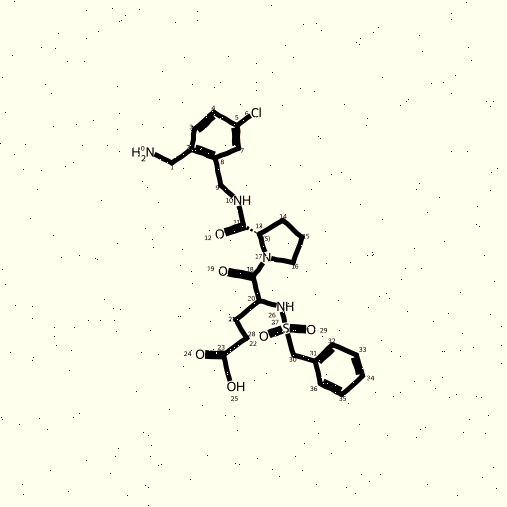 NCc1ccc(Cl)cc1CNC(=O)[C@@H]1CCCN1C(=O)C(CCC(=O)O)NS(=O)(=O)Cc1ccccc1